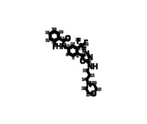 O=C(Nc1ccc(-c2nnc(NCCCN3CCOCC3)o2)c(C(F)(F)F)c1)c1ccccc1F